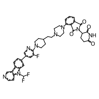 O=C1CCC(N2C(=O)c3cccc(N4CCN(CCC5CCN(c6ncc(-c7ccc8c9cnccc9n(C(F)F)c8c7)cc6F)CC5)CC4)c3C2=O)C(=O)N1